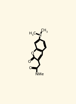 CNC(=O)Cc1cc2ccc(N(C)C)cc2oc1=O